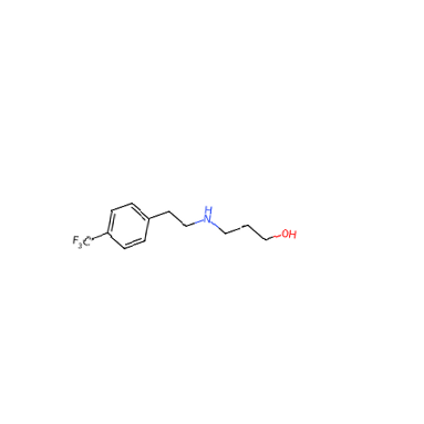 OCCCNCCc1ccc(C(F)(F)F)cc1